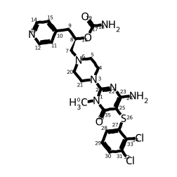 Cn1c(N2CCN(C[C@@H](Cc3ccncc3)OC(N)=O)CC2)nc(N)c(Sc2cccc(Cl)c2Cl)c1=O